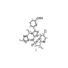 COc1cccc(-c2nnc(NS(=O)(=O)[C@@H](C)[C@H](C)c3ncc(Cl)cn3)n2[C@H](C)c2noc(C)n2)n1